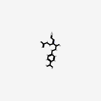 C=C(C)CC/C(=C\C=O)C(C)CCc1ccc(C(C)C)cc1